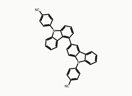 N#Cc1ccc(-n2c3ccccc3c3cc(-c4cccc5c4c4ccccc4n5-c4ccc(C#N)cc4)ccc32)cc1